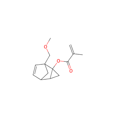 C=C(C)C(=O)OC12CC1C1C=CC2(COC)C1